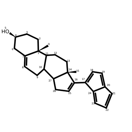 C[C@]12CC[C@H](O)CC1=CCC1C2CC[C@]2(C)C(C3=CC=C4C=CC=C43)=CCC12